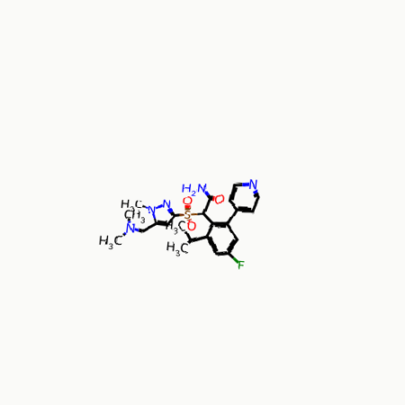 CC(C)c1cc(F)cc(-c2ccncc2)c1C(C(N)=O)S(=O)(=O)c1cc(CN(C)C)n(C)n1